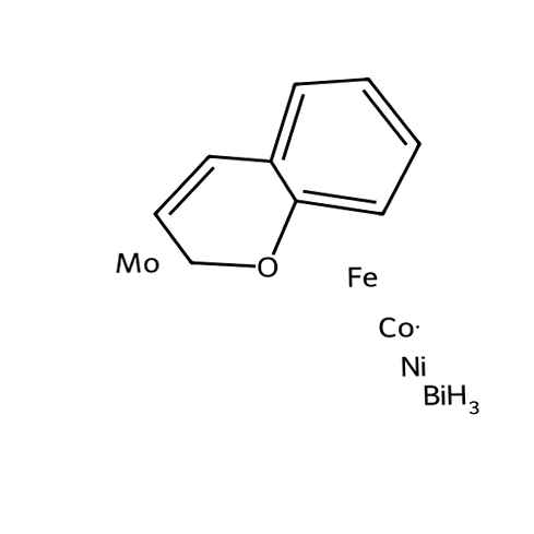 C1=Cc2ccccc2OC1.[BiH3].[Co].[Fe].[Mo].[Ni]